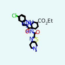 CCOC(=O)C1CCC(NC(=O)c2nc3c(s2)CN(C)CC3)(C(=O)c2cc3cc(Cl)ccc3[nH]2)C(N)C1